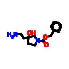 NCCC1(O)CCN(C(=O)OCc2ccccc2)C1